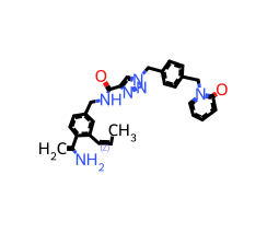 C=C(N)c1ccc(CNC(=O)c2cn(Cc3ccc(Cn4ccccc4=O)cc3)nn2)cc1/C=C\C